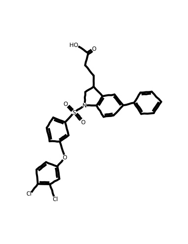 O=C(O)CCC1CN(S(=O)(=O)c2cccc(Oc3ccc(Cl)c(Cl)c3)c2)c2ccc(-c3ccccc3)cc21